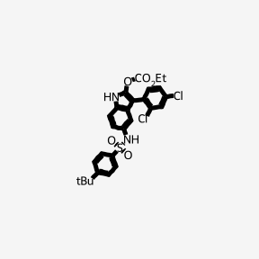 CCOC(=O)Oc1[nH]c2ccc(NS(=O)(=O)c3ccc(C(C)(C)C)cc3)cc2c1-c1ccc(Cl)cc1Cl